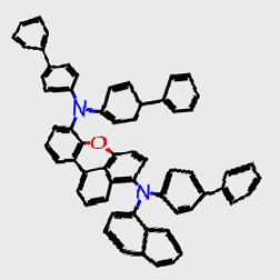 C1=CC2C=CC=C(N(c3ccc(-c4ccccc4)cc3)c3ccc4c5c(cccc35)-c3cccc(N(C5=CCC(c6ccccc6)C=C5)c5ccc(-c6ccccc6)cc5)c3O4)C2C=C1